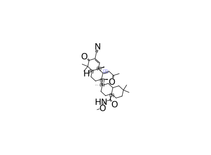 CONC(=O)[C@]12CCC(C)(C)CC1C[C@](C)([C@]1(C)CC[C@H]3C(C)(C)C(=O)C(C#N)=C[C@]3(C)/C1=C/C(C)=O)CC2